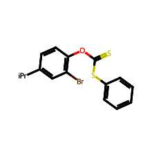 CC(C)c1ccc(OC(=S)Sc2ccccc2)c(Br)c1